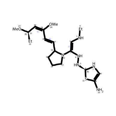 CCN/C=C(\NN[C@H]1NC=C(N)S1)N1CCCC1/C=C/C(=C\[C@@H](CC)OC)OC